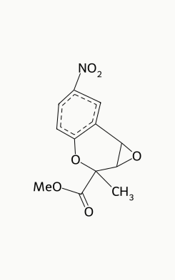 COC(=O)C1(C)Oc2ccc([N+](=O)[O-])cc2C2OC21